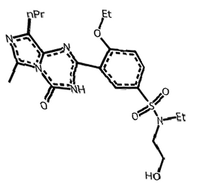 CCCc1nc(C)n2c(=O)[nH]c(-c3cc(S(=O)(=O)N(CC)CCO)ccc3OCC)nc12